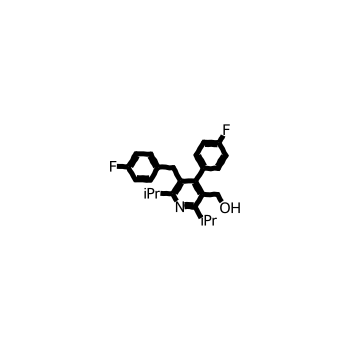 CC(C)c1nc(C(C)C)c(Cc2ccc(F)cc2)c(-c2ccc(F)cc2)c1CO